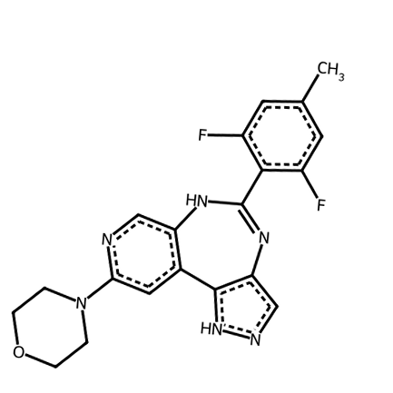 Cc1cc(F)c(C2=Nc3cn[nH]c3-c3cc(N4CCOCC4)ncc3N2)c(F)c1